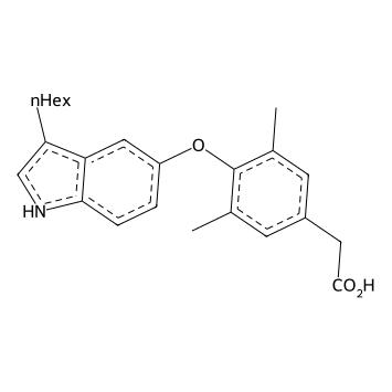 CCCCCCc1c[nH]c2ccc(Oc3c(C)cc(CC(=O)O)cc3C)cc12